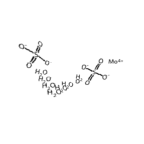 O.O.O.O.O.O.O.O=S(=O)([O-])[O-].O=S(=O)([O-])[O-].[Mo+4]